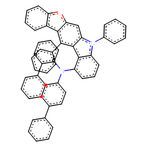 c1ccc(-c2ccc(N(c3ccccc3-c3ccccc3)c3cccc4c3c3c(-c5ccccc5)c5c(cc3n4-c3ccccc3)oc3ccccc35)cc2)cc1